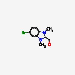 CN1c2ccc(Br)cc2N(C)C1C=O